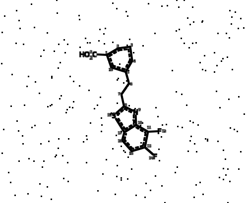 O=C(O)c1cccc(CCc2nc3c(F)c(F)ccc3s2)c1